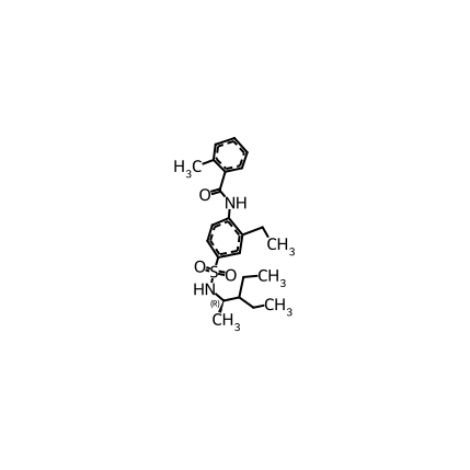 CCc1cc(S(=O)(=O)N[C@H](C)C(CC)CC)ccc1NC(=O)c1ccccc1C